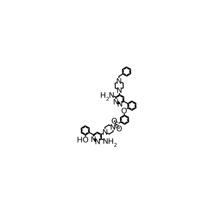 Nc1nnc(-c2ccccc2O)cc1N1CCN(S(=O)(=O)c2cccc(Oc3ccccc3-c3cc(N4CCN(Cc5ccccc5)CC4)c(N)nn3)c2)CC1